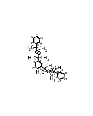 CC(C)(OOC(C)(C)c1cccc(C(C)(C)OOC(C)(C)c2ccccc2)c1)c1ccccc1